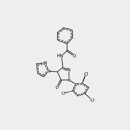 O=C(NC1=NN(c2c(Cl)cc(Cl)cc2Cl)C(=O)C1n1cccn1)c1ccccc1